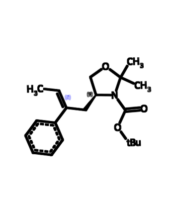 C/C=C(/C[C@H]1COC(C)(C)N1C(=O)OC(C)(C)C)c1ccccc1